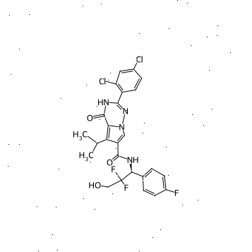 CC(C)c1c(C(=O)N[C@@H](c2ccc(F)cc2)C(F)(F)CO)cn2nc(-c3ccc(Cl)cc3Cl)[nH]c(=O)c12